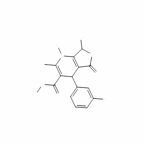 CCN1C(C)=C(C(=O)OC(C)C)C(c2cccc([N+](=O)[O-])c2)C2=C1C(O)OC2=O